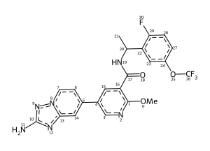 COc1ncc(-c2ccn3nc(N)nc3c2)cc1C(=O)NC(C)c1cc(OC(F)(F)F)ccc1F